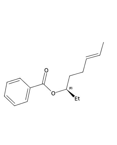 CC=CCC[C@@H](CC)OC(=O)c1ccccc1